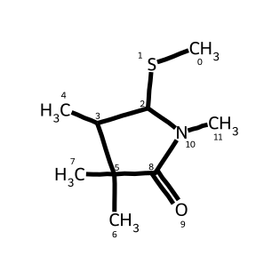 CSC1C(C)C(C)(C)C(=O)N1C